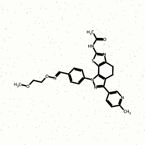 COCCO/N=C/c1ccc(-n2nc(-c3ccc(C)nc3)c3c2-c2sc(NC(C)=O)nc2CC3)cc1